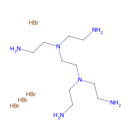 Br.Br.Br.Br.NCCN(CCN)CCN(CCN)CCN